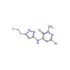 Cn1nc(Br)cc(Nc2cn(CCF)nn2)c1=O